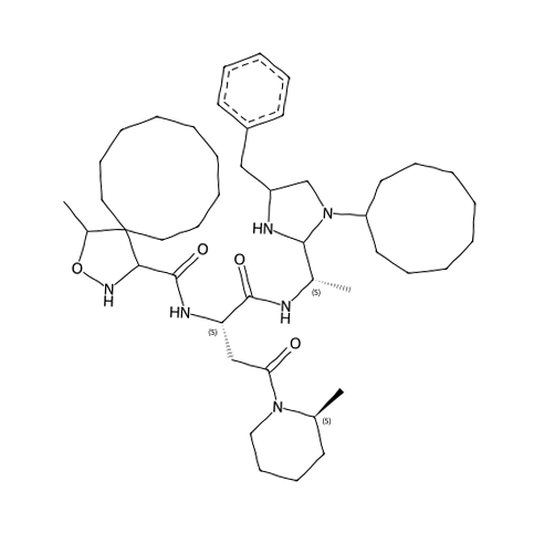 CC1ONC(C(=O)N[C@@H](CC(=O)N2CCCC[C@@H]2C)C(=O)N[C@@H](C)C2NC(Cc3ccccc3)CN2C2CCCCCCCC2)C12CCCCCCCCC2